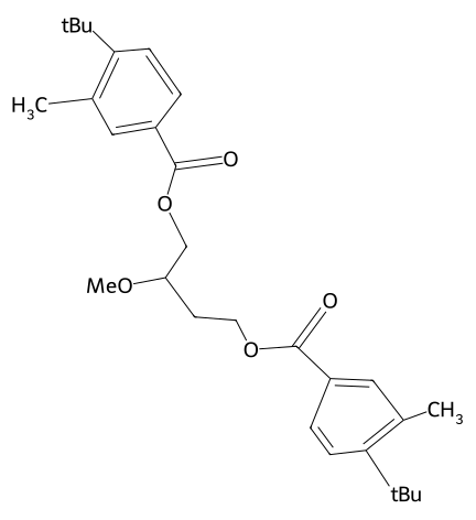 COC(CCOC(=O)c1ccc(C(C)(C)C)c(C)c1)COC(=O)c1ccc(C(C)(C)C)c(C)c1